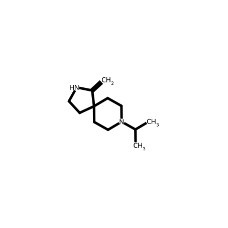 C=C1NCCC12CCN(C(C)C)CC2